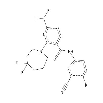 N#Cc1cc(NC(=O)c2ccc(C(F)F)nc2N2CCCC(F)(F)CC2)ccc1F